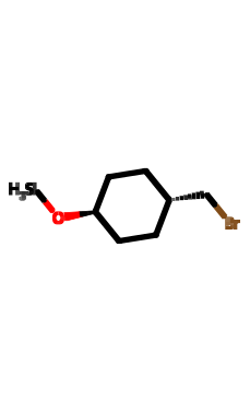 [SiH3]O[C@H]1CC[C@H](CBr)CC1